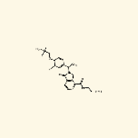 CNCCNC(=O)c1nccc2c1CN(C(C)c1ccc(OCC(C)(F)F)c(Cl)c1)C2=O